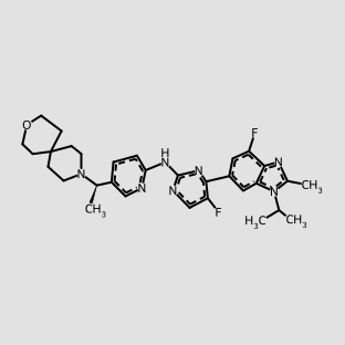 Cc1nc2c(F)cc(-c3nc(Nc4ccc([C@@H](C)N5CCC6(CCOCC6)CC5)cn4)ncc3F)cc2n1C(C)C